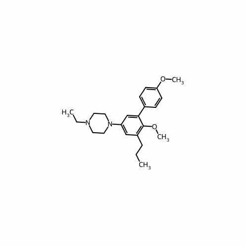 CCCc1cc(N2CCN(CC)CC2)cc(-c2ccc(OC)cc2)c1OC